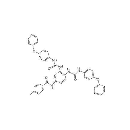 Cc1ccc(C(=O)Nc2ccc(NC(=O)Nc3ccc(Oc4ccccc4)cc3)c(NC(=O)Nc3ccc(Oc4ccccc4)cc3)c2)cc1